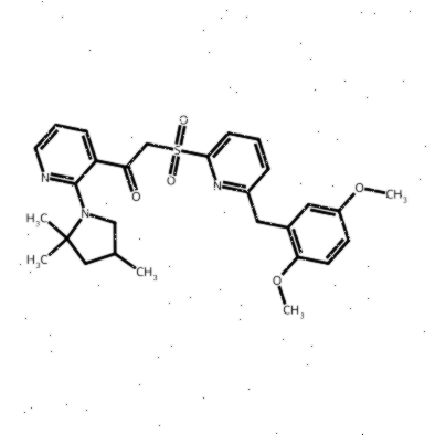 COc1ccc(OC)c(Cc2cccc(S(=O)(=O)CC(=O)c3cccnc3N3CC(C)CC3(C)C)n2)c1